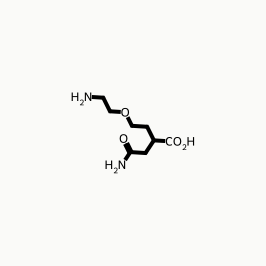 NCCOCCC(CC(N)=O)C(=O)O